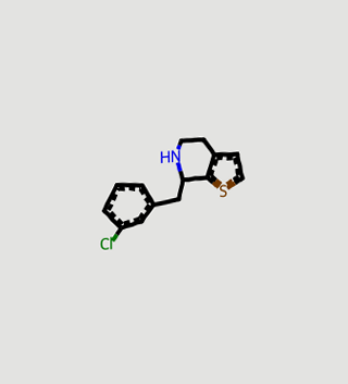 Clc1cccc(CC2NCCc3ccsc32)c1